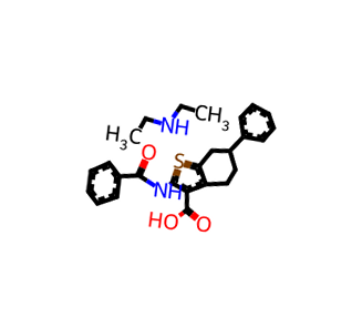 CCNCC.O=C(Nc1sc2c(c1C(=O)O)CCC(c1ccccc1)C2)c1ccccc1